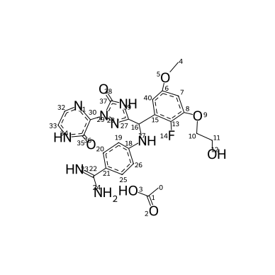 CC(=O)O.COc1cc(OCCO)c(F)c(C(Nc2ccc(C(=N)N)cc2)c2nn(-c3ncc[nH]c3=O)c(=O)[nH]2)c1